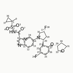 CC1(S(=O)(=O)NC(=O)c2cnc3ccc(N4C[C@H](F)C[C@H]4c4cc(F)ccc4O[C@@H]4CCOC4)cn23)CC1